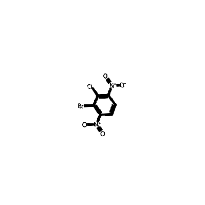 O=[N+]([O-])c1ccc([N+](=O)[O-])c(Br)c1Cl